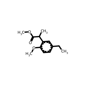 CCc1ccc(OC)c(C(C)C(=O)OC)c1